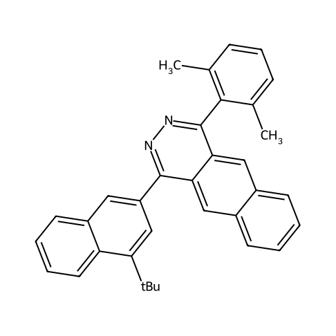 Cc1cccc(C)c1-c1nnc(-c2cc(C(C)(C)C)c3ccccc3c2)c2cc3ccccc3cc12